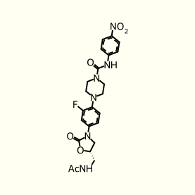 CC(=O)NC[C@H]1CN(c2ccc(N3CCN(C(=O)Nc4ccc([N+](=O)[O-])cc4)CC3)c(F)c2)C(=O)O1